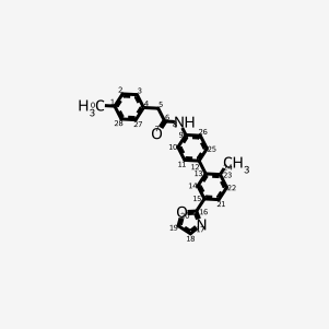 Cc1ccc(CC(=O)Nc2ccc(-c3cc(-c4ncco4)ccc3C)cc2)cc1